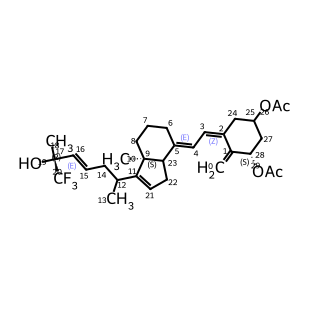 C=C1/C(=C\C=C2/CCC[C@]3(C)C(C(C)C/C=C/[C@@](C)(O)C(F)(F)F)=CCC23)CC(OC(C)=O)C[C@@H]1OC(C)=O